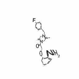 C[C@@H]1CN(Cc2ccc(F)cc2)[C@@H](C)CN1C(=O)COc1ccccc1N